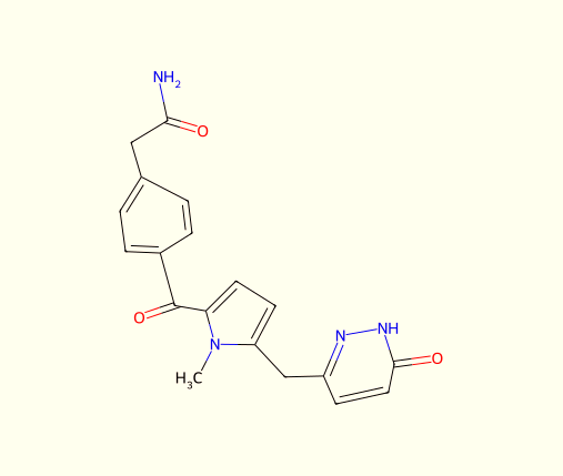 Cn1c(Cc2ccc(=O)[nH]n2)ccc1C(=O)c1ccc(CC(N)=O)cc1